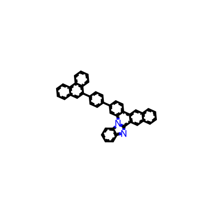 c1ccc2cc3c(cc2c1)c1ccc(-c2ccc(-c4cc5ccccc5c5ccccc45)cc2)cc1n1c2ccccc2nc31